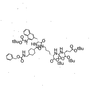 CN(C(=O)OC(C)(C)C)c1cc(C[C@@H](NC(=O)C2CCC(CNC(=O)OCc3ccccc3)CC2)C(=O)NCCCC[C@H](NC(=O)N[C@@H](CCC(=O)OC(C)(C)C)C(=O)OC(C)(C)C)C(=O)OC(C)(C)C)cc2ccccc12